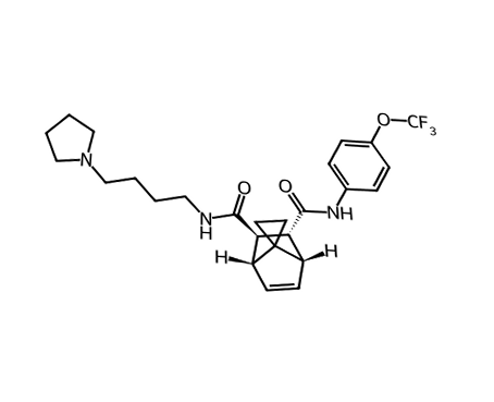 O=C(NCCCCN1CCCC1)[C@H]1[C@H](C(=O)Nc2ccc(OC(F)(F)F)cc2)[C@@H]2C=C[C@H]1C21CC1